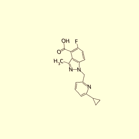 Cc1nn(Cc2cccc(C3CC3)n2)c2ccc(F)c(C(=O)O)c12